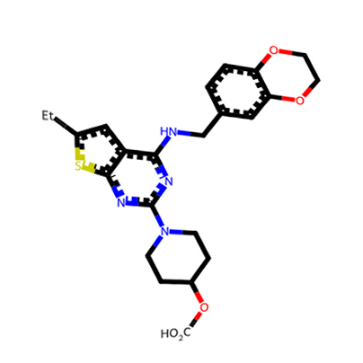 CCc1cc2c(NCc3ccc4c(c3)OCCO4)nc(N3CCC(OC(=O)O)CC3)nc2s1